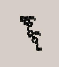 CCCC(C)Oc1nc(N)c2ncc(Cc3cnc(N4CCN(CCO)CC4)c(C)c3)n2n1